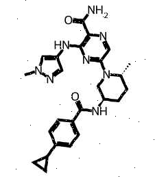 C[C@@H]1CC[C@@H](NC(=O)c2ccc(C3CC3)cc2)CN1c1cnc(C(N)=O)c(Nc2cnn(C)c2)n1